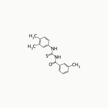 Cc1cccc(C(=O)NC(=S)Nc2ccc(C)c(C)c2)c1